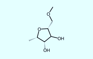 COC[C@H]1O[C@@H](C)[C@@H](O)C1O